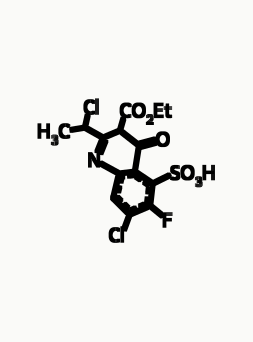 CCOC(=O)C1C(=O)c2c(cc(Cl)c(F)c2S(=O)(=O)O)N=C1C(C)Cl